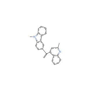 C=C(c1ccc2c(c1)c1ccccc1n2C)c1cc(C)nc2ccccc12